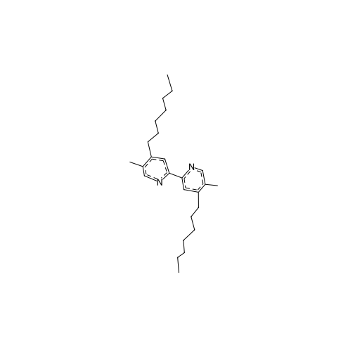 CCCCCCCc1cc(-c2cc(CCCCCCC)c(C)cn2)ncc1C